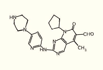 Cc1c(C=O)c(=O)n(C2CCCC2)c2nc(Nc3ccc(N4CCNCC4)cn3)ncc12